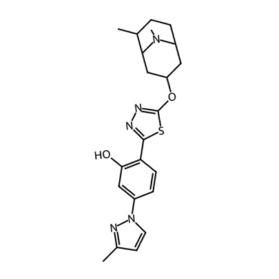 Cc1ccn(-c2ccc(-c3nnc(OC4CC5CCC(C)C(C4)N5C)s3)c(O)c2)n1